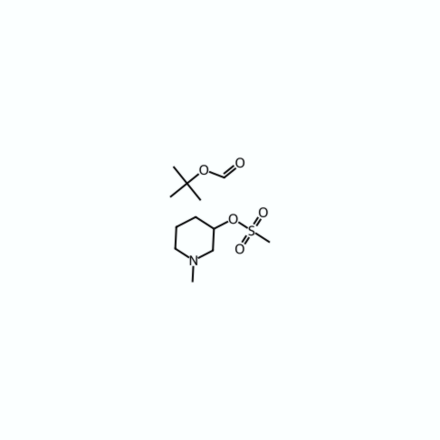 CC(C)(C)OC=O.CN1CCCC(OS(C)(=O)=O)C1